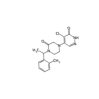 Cc1ccccc1C(C)N1CCN(c2cn[nH]c(=O)c2Cl)CC1=O